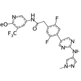 COc1ncc(NC(=O)Cc2cc(F)c(-c3cnc(Nc4cnn(C)c4)nc3)cc2F)cc1C(F)(F)F